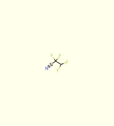 N#[Si]C(F)(F)[C](F)F